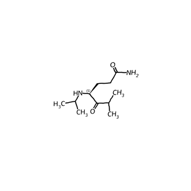 CC(C)N[C@@H](CCC(N)=O)C(=O)C(C)C